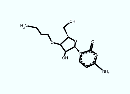 NCCCOC1C(O)[C@H](n2ccc(N)nc2=O)O[C@@H]1CO